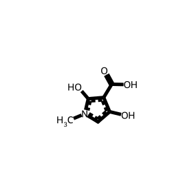 Cn1cc(O)c(C(=O)O)c1O